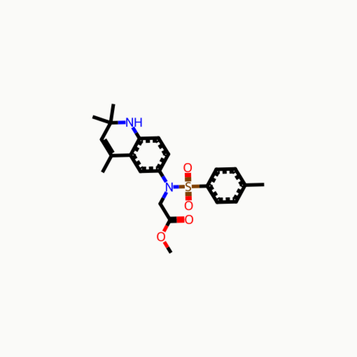 COC(=O)CN(c1ccc2c(c1)C(C)=CC(C)(C)N2)S(=O)(=O)c1ccc(C)cc1